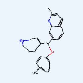 Cc1ccc2ccc(C(Oc3ccc(C#N)cc3)C3CCCNCC3)cc2n1